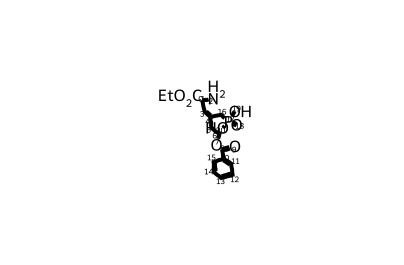 CCOC(=O)C(N)C=C(CCOC(=O)c1ccccc1)CP(=O)(O)O